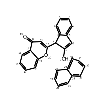 CC1=Cc2ccccc2C1c1cc(=O)c2ccccc2o1.c1ccc2ccccc2c1